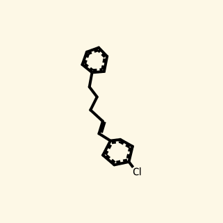 Clc1ccc(C=CCCCc2ccccc2)cc1